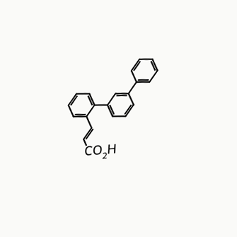 O=C(O)C=Cc1ccccc1-c1cccc(-c2ccccc2)c1